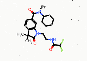 CC(C)N(C(=O)c1ccc2c(c1)N(CCNC(=O)C(F)F)C(=O)C2(C)C)C1CCCCC1